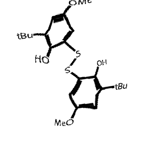 COc1cc(SSc2cc(OC)cc(C(C)(C)C)c2O)c(O)c(C(C)(C)C)c1